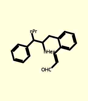 CCCCCCC(Cc1ccccc1/C=C/C=O)C(CCC)c1ccccc1